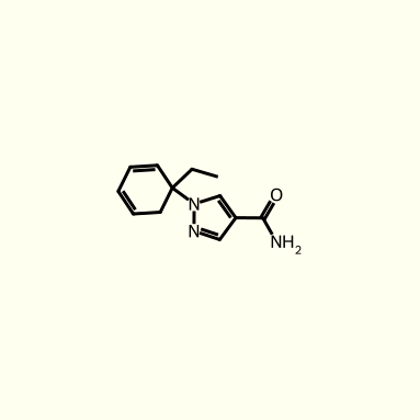 CCC1(n2cc(C(N)=O)cn2)C=CC=CC1